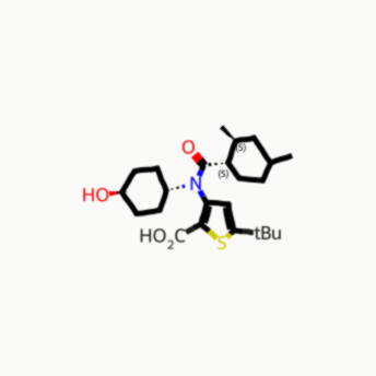 CC1CC[C@H](C(=O)N(c2cc(C(C)(C)C)sc2C(=O)O)[C@H]2CC[C@H](O)CC2)[C@@H](C)C1